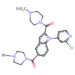 CCOC(=O)N1CCN(C(=O)c2cc3cc(C(=O)N4CCN(C(C)C)CC4)ccc3n2-c2ccnc(Cl)c2)CC1